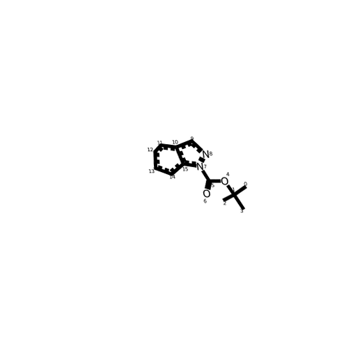 CC(C)(C)OC(=O)n1ncc2ccccc21